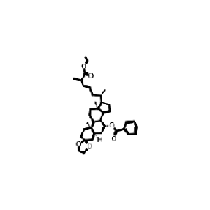 CCOC(=O)C(C)CCC[C@@H](C)[C@H]1CCC2C3C(CC[C@@]21C)[C@@]1(C)CCC2(C[C@@H]1C[C@H]3OC(=O)c1ccccc1)OCCO2